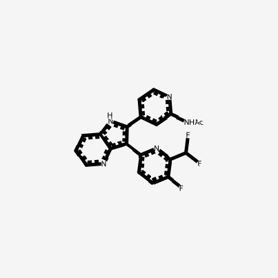 CC(=O)Nc1cc(-c2[nH]c3cccnc3c2-c2ccc(F)c(C(F)F)n2)ccn1